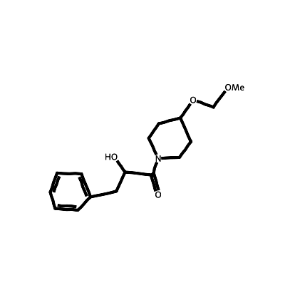 COCOC1CCN(C(=O)C(O)Cc2ccccc2)CC1